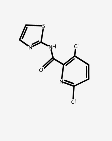 O=C(Nc1nccs1)c1nc(Cl)ccc1Cl